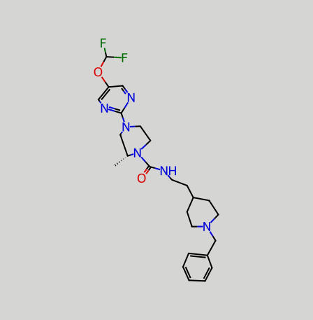 C[C@@H]1CN(c2ncc(OC(F)F)cn2)CCN1C(=O)NCCC1CCN(Cc2ccccc2)CC1